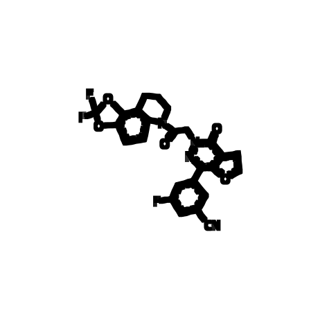 N#Cc1cc(F)cc(-c2nn(CC(=O)N3CCCc4c3ccc3c4OC(F)(F)O3)c(=O)c3ccoc23)c1